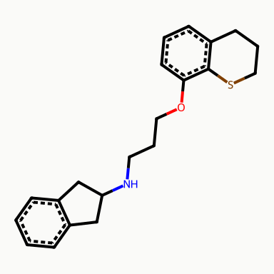 c1ccc2c(c1)CC(NCCCOc1cccc3c1SCCC3)C2